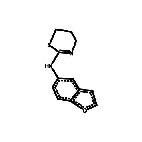 c1cc2cc(NC3=NCCCS3)ccc2o1